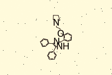 c1ccc(-c2nc(-c3ccccc3OCCN3CCCC3)[nH]c2-c2ccccc2)cc1